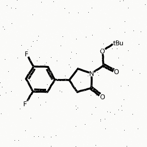 CC(C)(C)OC(=O)N1CC(c2cc(F)cc(F)c2)CC1=O